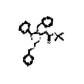 CC(C(=O)OC(C)(C)C)[C@H](CCOCc1ccccc1)N(Cc1ccccc1)[C@@H](C)c1ccccc1